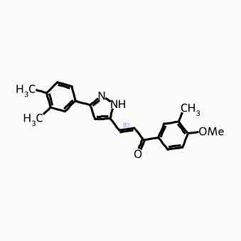 COc1ccc(C(=O)/C=C/c2cc(-c3ccc(C)c(C)c3)n[nH]2)cc1C